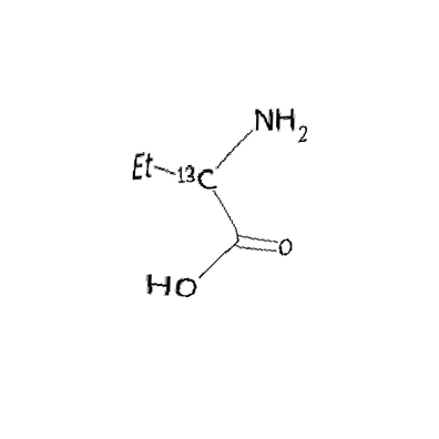 C[13CH2][13CH](N)C(=O)O